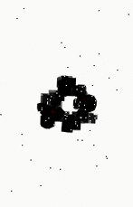 C=CC(C)(C)n1cc(C[C@@H]2NC(=O)[C@H](CC3CCC3)NC(=O)[C@H](CC(C)C)N3CC/C=C\C[C@@H](C3=O)N(C)C(=O)[C@H](C)NC(=O)[C@H](Cc3cncs3)NC(=O)[C@H](CC(C)C)N(C)C2=O)c2ccccc21